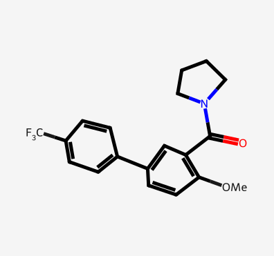 COc1ccc(-c2ccc(C(F)(F)F)cc2)cc1C(=O)N1CCCC1